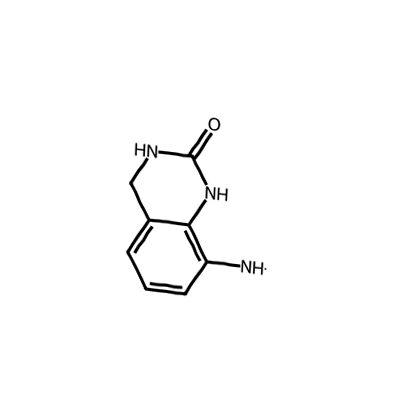 [NH]c1cccc2c1NC(=O)NC2